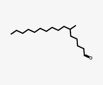 CCCCCCCCCCC(C)CCCCC=O